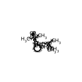 CCCC[N+](CCCC)(CCCC)CCCC.CCCC[N+](CCCC)(CCCC)CCCC.O=S(=O)([O-])[O-].OC1CCCCCCCCCCC1